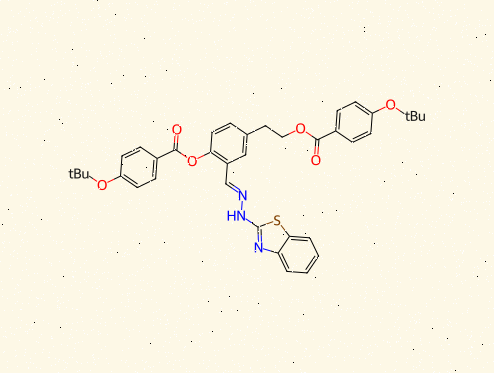 CC(C)(C)Oc1ccc(C(=O)OCCc2ccc(OC(=O)c3ccc(OC(C)(C)C)cc3)c(/C=N/Nc3nc4ccccc4s3)c2)cc1